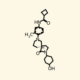 Cc1cc(NC(=O)C2CCC2)ccc1N1CCC[C@@]2(CCN(C3CCC(O)CC3)C2=O)C1